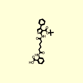 CC(C)(C)OC(=O)c1c(-c2ccccc2)csc1NC(=O)CCCCC(=O)Nc1ccccc1C(=O)O